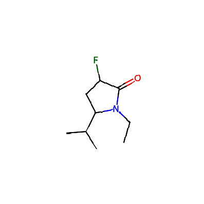 CCN1C(=O)C(F)CC1C(C)C